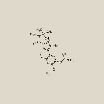 COc1cc2c(cc1OC(C)C)-n1c(Br)nc(C(=O)N(C)C(C)(C)C)c1CC2